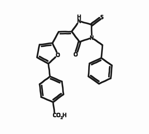 O=C(O)c1ccc(-c2ccc(C=C3NC(=S)N(Cc4ccccc4)C3=O)o2)cc1